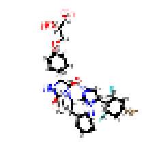 C[C@@H](c1ccccc1)[C@@H](c1ncc(-c2c(F)cc(Br)cc2F)[nH]1)N1C(=O)N[C@H](c2ccc(OC[C@H](O)CO)cc2)C1=O